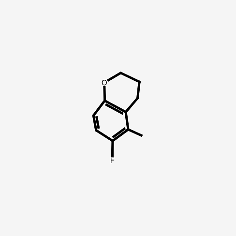 Cc1c(F)ccc2c1CCCO2